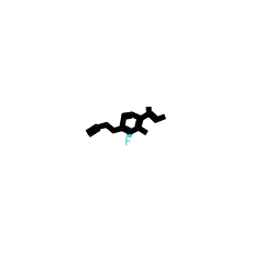 C#CCCc1ccc(/C(C)=C/C)c(C)c1F